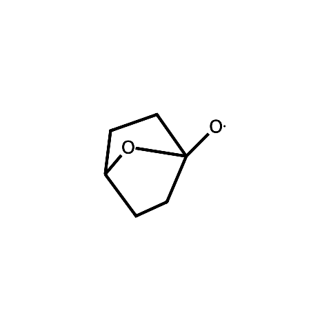 [O]C12CCC(CC1)O2